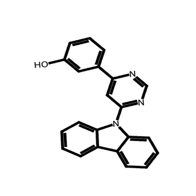 Oc1cccc(-c2cc(-n3c4ccccc4c4ccccc43)ncn2)c1